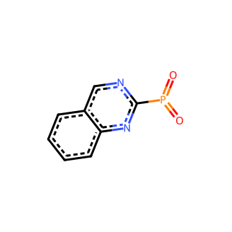 O=P(=O)c1ncc2ccccc2n1